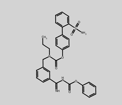 CCCN(Cc1cccc(C(=N)NC(=O)Oc2ccccc2)c1)C(=O)Oc1ccc(-c2ccccc2S(N)(=O)=O)cc1